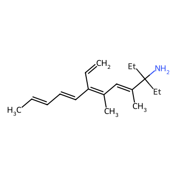 C=CC(/C=C/C=C/C)=C(C)\C=C(/C)C(N)(CC)CC